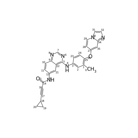 Cc1cc(Nc2ncnc3ccc(NC(=O)C#CC4CC4)cc23)ccc1Oc1ccn2ccnc2c1